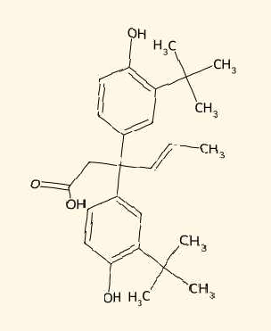 CC=CC(CC(=O)O)(c1ccc(O)c(C(C)(C)C)c1)c1ccc(O)c(C(C)(C)C)c1